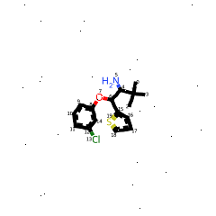 CC(C)(C)C(N)C(Oc1cccc(Cl)c1)c1cccs1